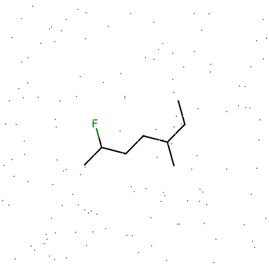 CCC(C)CCC(C)F